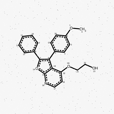 COc1ccc(-c2c(-c3ccccc3)oc3nccc(OCCO)c23)cc1